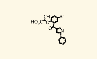 CC(Oc1ccc(Br)cc1C(=O)c1cnn(-c2ccccc2)c1)C(=O)O